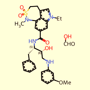 CCn1cc2c3c(cc(C(=O)N[C@@H](Cc4ccccc4)[C@H](O)CNc4cccc(OC)c4)cc31)N(C)S(=O)(=O)CC2.O=CO